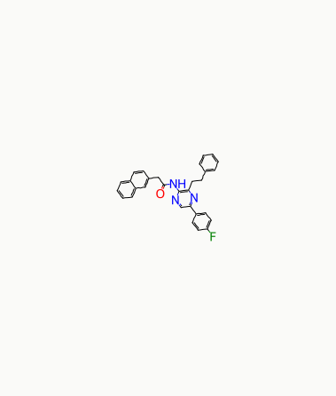 O=C(Cc1ccc2ccccc2c1)Nc1ncc(-c2ccc(F)cc2)nc1CCc1ccccc1